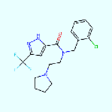 O=C(c1cc(C(F)(F)F)n[nH]1)N(CCN1CCCC1)Cc1ccccc1Cl